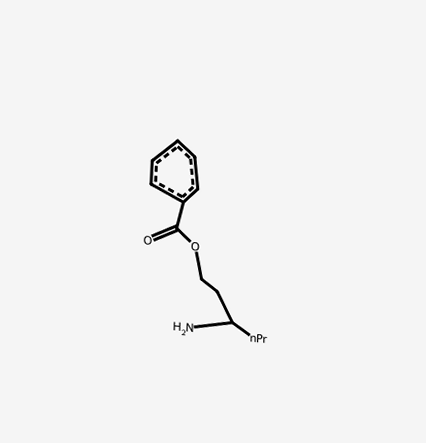 CCCC(N)CCOC(=O)c1ccccc1